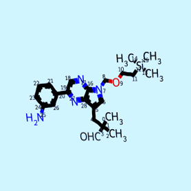 CC(C)(C=O)Cc1cn(COCC[Si](C)(C)C)c2ncc(-c3cccc(N)c3)nc12